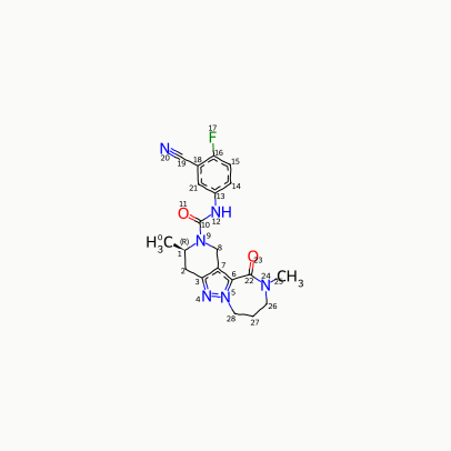 C[C@@H]1Cc2nn3c(c2CN1C(=O)Nc1ccc(F)c(C#N)c1)C(=O)N(C)CCC3